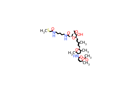 CSCC(=O)NCCCCCNC(=O)C[C@@H]1C[C@@]2(CO2)[C@H](O)[C@@H](/C=C/C(C)=C/C[C@@H]2O[C@H](C)[C@H](NC(=O)/C=C\[C@H](C)OC(C)=O)C[C@@H]2C)O1